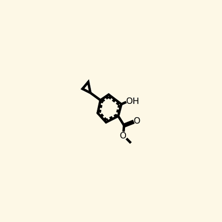 COC(=O)c1ccc(C2CC2)cc1O